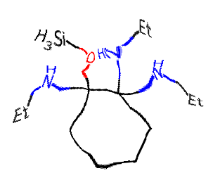 CCNC1(NCC)CCCCC1(NCC)O[SiH3]